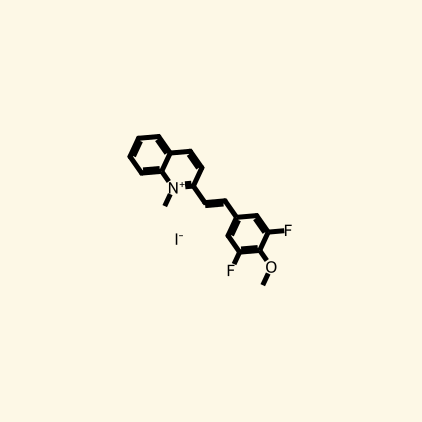 COc1c(F)cc(/C=C/c2ccc3ccccc3[n+]2C)cc1F.[I-]